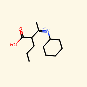 CCCC(C(=O)O)/C(C)=N\C1CCCCC1